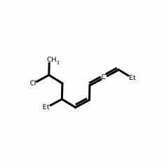 CCC=C=C/C=C\C(CC)CC(C)Cl